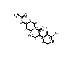 CCC[C@@H]1NCCN(C(CC(C)C)C(=O)N2CCC(CC(N)=O)CC2)C1=O